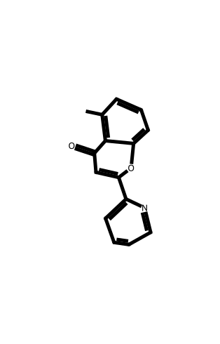 Cc1cccc2oc(-c3ccccn3)cc(=O)c12